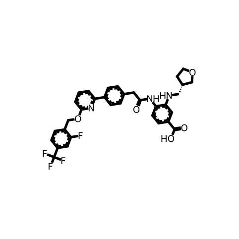 O=C(Cc1ccc(-c2cccc(OCc3ccc(C(F)(F)F)cc3F)n2)cc1)Nc1ccc(C(=O)O)cc1NC[C@@H]1CCOC1